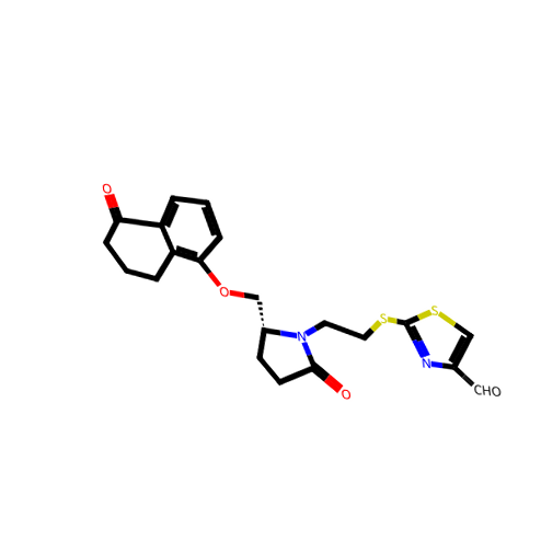 O=Cc1csc(SCCN2C(=O)CC[C@@H]2COc2cccc3c2CCCC3=O)n1